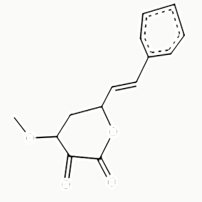 COC1CC(C=Cc2ccccc2)OC(=O)C1=O